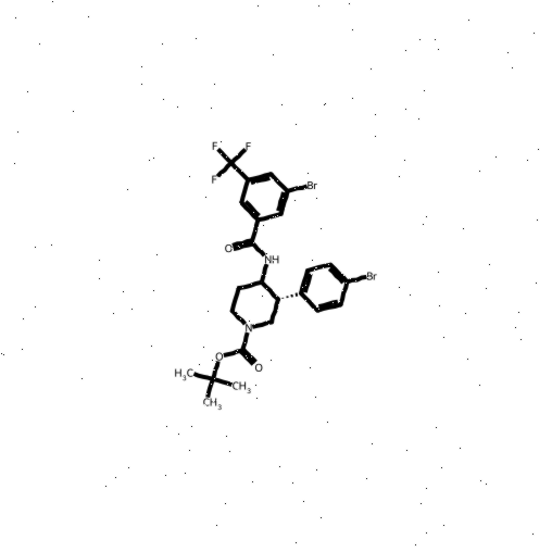 CC(C)(C)OC(=O)N1CCC(NC(=O)c2cc(Br)cc(C(F)(F)F)c2)[C@H](c2ccc(Br)cc2)C1